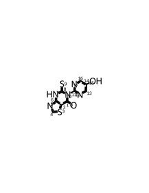 O=c1c2scnc2[nH]c(=S)n1-c1ncc(O)cn1